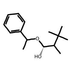 CC(O[C@@H](O)C(C)C(C)(C)C)c1ccccc1